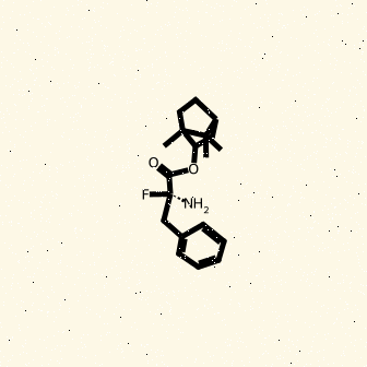 CC1(C)C2CCC1(C)C(OC(=O)[C@](N)(F)Cc1ccccc1)C2